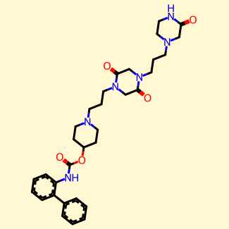 O=C1CN(CCCN2CC(=O)N(CCCN3CCC(OC(=O)Nc4ccccc4-c4ccccc4)CC3)CC2=O)CCN1